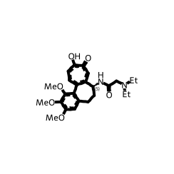 CCN(CC)CC(=O)N[C@H]1CCc2cc(OC)c(OC)c(OC)c2-c2ccc(O)c(=O)cc21